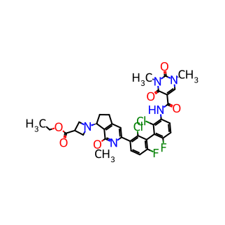 CCOC(=O)C1CN([C@H]2CCc3cc(-c4ccc(F)c(-c5c(F)ccc(NC(=O)c6cn(C)c(=O)n(C)c6=O)c5Cl)c4Cl)nc(OC)c32)C1